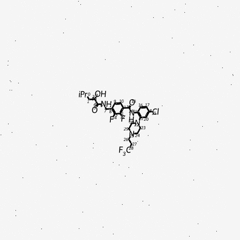 CC(C)C[C@@H](O)C(=O)NCc1ccc(C(=O)Nc2ccc(Cl)cc2N2CCN(CCC(F)(F)F)CC2)c(F)c1F